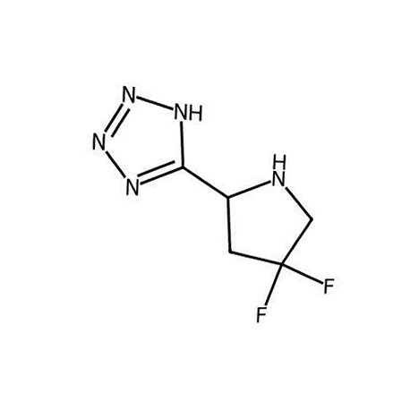 FC1(F)CNC(c2nnn[nH]2)C1